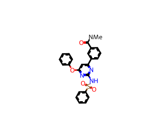 CNC(=O)c1cccc(-c2cc(Oc3ccccc3)nc(NS(=O)(=O)c3ccccc3)n2)c1